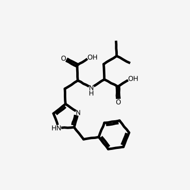 CC(C)CC(NC(Cc1c[nH]c(Cc2ccccc2)n1)C(=O)O)C(=O)O